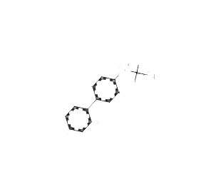 FC(F)(Br)[Se]c1ccc(-c2ccccc2)cc1